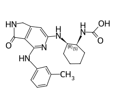 Cc1cccc(Nc2nc(N[C@@H]3CCCC[C@@H]3NC(=O)O)cc3c2C(=O)NC3)c1